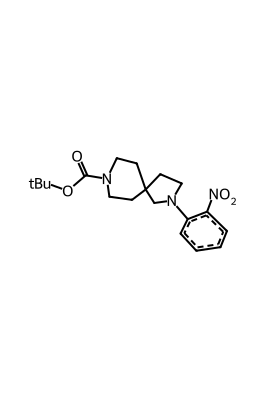 CC(C)(C)OC(=O)N1CCC2(CC1)CCN(c1ccccc1[N+](=O)[O-])C2